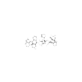 c1ccc(-n2c3cc(-c4c5ccccc5c(-c5cccc6ccccc56)c5ccccc45)ccc3c3ccc(-n4c5ccccc5c5cccnc54)cc32)cc1